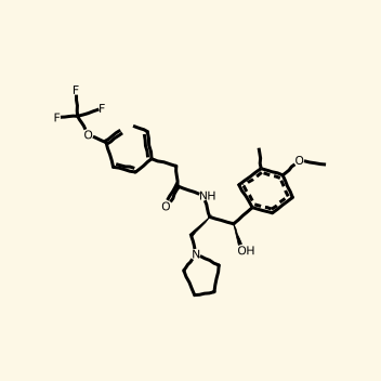 C=C(/C=C\C(=C/C)CC(=O)N[C@H](CN1CCCC1)[C@H](O)c1ccc(OC)c(C)c1)OC(F)(F)F